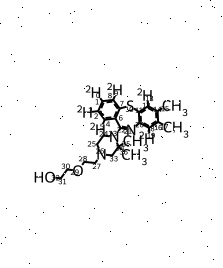 [2H]c1c([2H])c([2H])c2c(c1[2H])Sc1c([2H])c(C)c(C)c([2H])c1N=C2N1CCN(CCOCCO)CC1(C)C